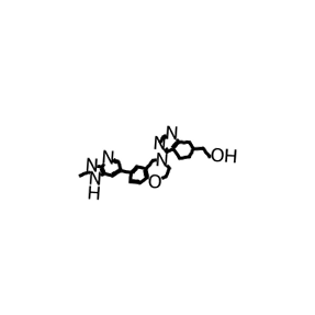 Cc1nc2ncc(-c3ccc4c(c3)CN(c3ncnc5c3CCC(CCO)C5)CCO4)cc2[nH]1